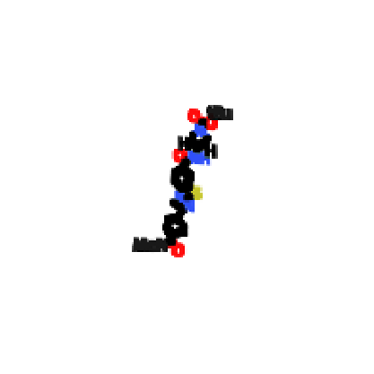 CNC(=O)c1ccc(-c2cn3c(n2)sc2cc(C(=O)NC4[C@H]5CN(C(=O)OC(C)(C)C)C[C@@H]45)ccc23)cc1